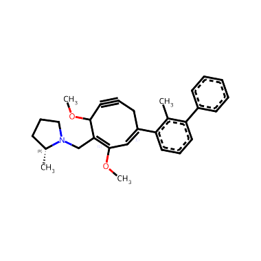 COC1=C(\CN2CCC[C@H]2C)C(OC)C#CC/C(c2cccc(-c3ccccc3)c2C)=C\1